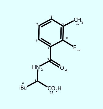 CCC(C)C(NC(=O)c1cccc(C)c1F)C(=O)O